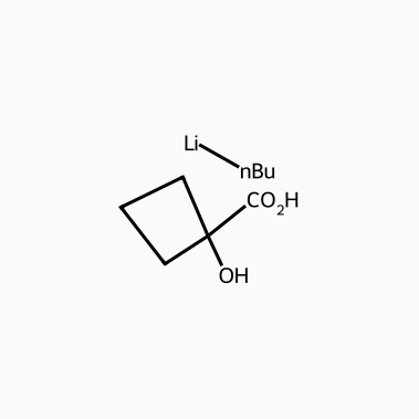 O=C(O)C1(O)CCC1.[Li][CH2]CCC